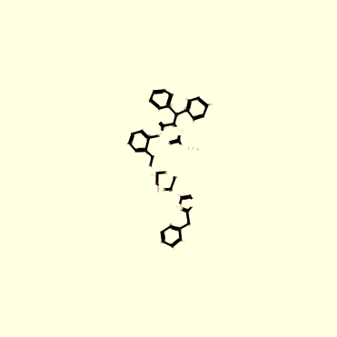 COC(=O)NC(C(=O)Nc1ccccc1CC[C@@H]1CN[C@H](c2csc(Cc3ccccc3)n2)CO1)C(c1ccccc1)c1ccccc1